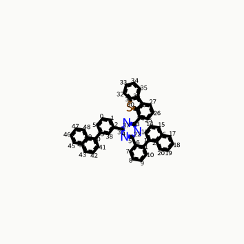 c1cc(-c2nc(-c3ccccc3-c3cccc4ccccc34)nc(-c3cccc4c3sc3ccccc34)n2)cc(-c2cccc3ccccc23)c1